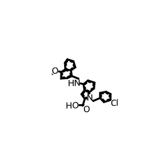 COc1ccc(CNc2cccc3c2cc(C(=O)O)n3Cc2cccc(Cl)c2)c2ccccc12